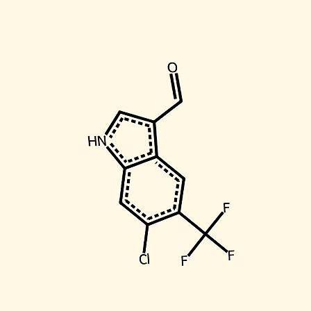 O=Cc1c[nH]c2cc(Cl)c(C(F)(F)F)cc12